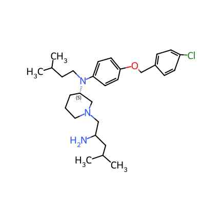 CC(C)CCN(c1ccc(OCc2ccc(Cl)cc2)cc1)[C@H]1CCCN(CC(N)CC(C)C)C1